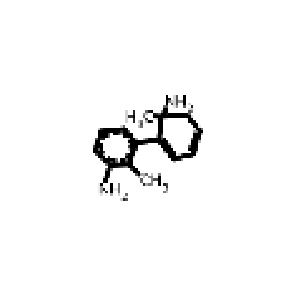 Cc1c(N)cccc1C1=CC=CCC1(C)N